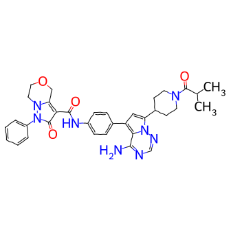 CC(C)C(=O)N1CCC(c2cc(-c3ccc(NC(=O)c4c5n(n(-c6ccccc6)c4=O)CCOC5)cc3)c3c(N)ncnn23)CC1